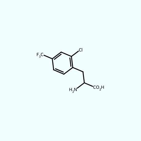 NC(Cc1ccc(C(F)(F)F)cc1Cl)C(=O)O